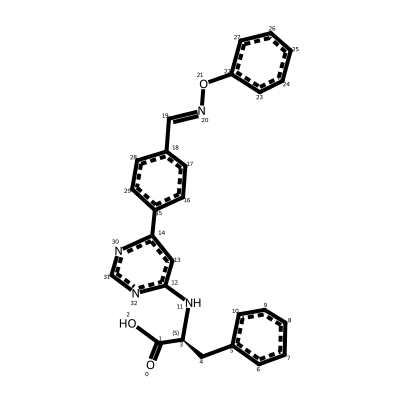 O=C(O)[C@H](Cc1ccccc1)Nc1cc(-c2ccc(C=NOc3ccccc3)cc2)ncn1